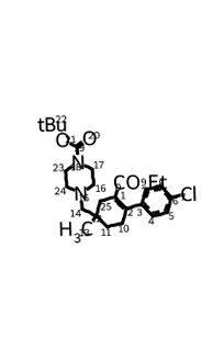 CCOC(=O)C1=C(c2ccc(Cl)cc2)CCC(C)(CN2CCN(C(=O)OC(C)(C)C)CC2)C1